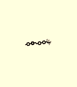 CC1CCC(c2ccc(CCC3CCC(C4CCC(/C(F)=C/C(F)(F)F)CC4)CC3)cc2)CC1